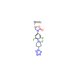 CC(=O)NC[C@H]1CN(c2cc(F)c(N3CCC(n4cnnn4)CC3F)c(F)c2)C(=O)O1